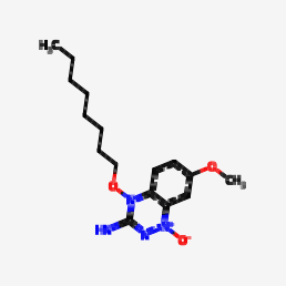 CCCCCCCCOn1c(=N)n[n+]([O-])c2cc(OC)ccc21